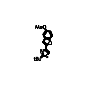 COc1ccc2oc(-c3csc(C(C)(C)C)n3)cc2c1